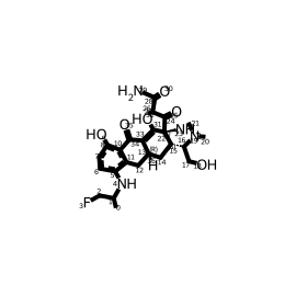 CC(CF)Nc1ccc(O)c2c1C[C@H]1C[C@@H](C(CO)N(C)C)[C@@](N)(C(=O)C(C)C(N)=O)C(O)=C1C2=O